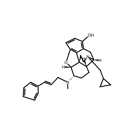 CN(CC=Cc1ccccc1)[C@H]1CC[C@H]2[C@H]3Cc4c(O)ccc5c4[C@@]2(CCN3CC2CC2)[C@H]1O5